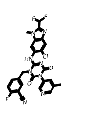 Cc1cncc(-n2c(=O)nc(Nc3cc4c(cc3Cl)nc(C(F)F)n4C)n(Cc3ccc(F)c(C#N)c3)c2=O)c1